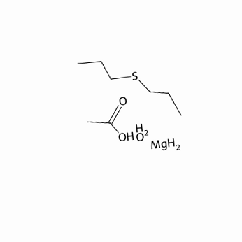 CC(=O)O.CCCSCCC.O.[MgH2]